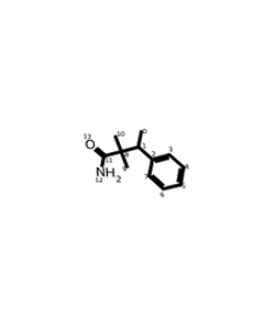 CC(c1ccccc1)C(C)(C)C(N)=O